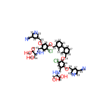 C=C(O)[C@@H](CO)NCc1cc(Cl)c(OCc2cccc(-c3cccc(COc4cc(OCc5cncc(C#N)c5)c(CN[C@@H](CO)C(=O)O)cc4Cl)c3C)c2C)cc1OCc1cncc(C#N)c1